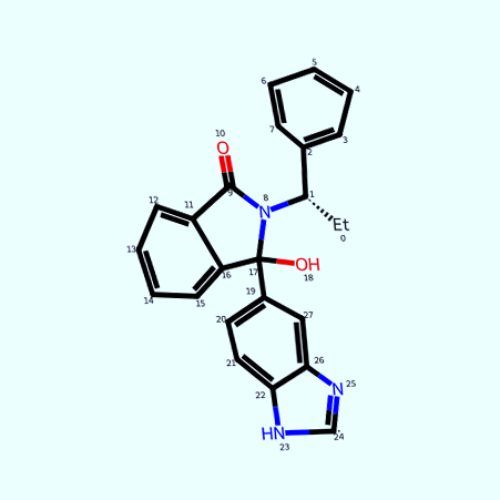 CC[C@@H](c1ccccc1)N1C(=O)c2ccccc2C1(O)c1ccc2[nH][c]nc2c1